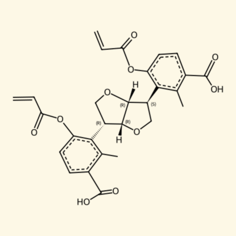 C=CC(=O)Oc1ccc(C(=O)O)c(C)c1[C@H]1CO[C@H]2[C@@H]1OC[C@H]2c1c(OC(=O)C=C)ccc(C(=O)O)c1C